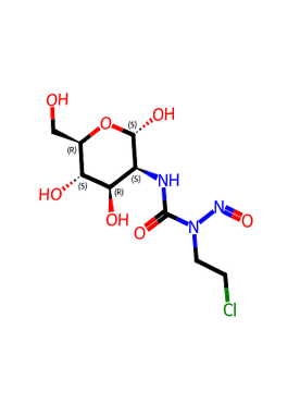 O=NN(CCCl)C(=O)N[C@H]1[C@@H](O)[C@H](O)[C@@H](CO)O[C@@H]1O